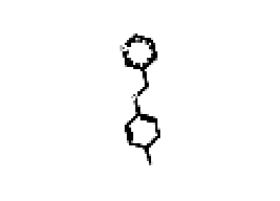 CC1C=CC(OCc2cccnc2)=CC1